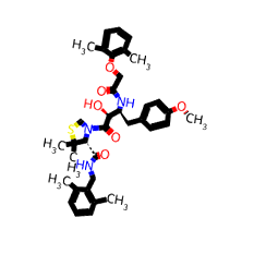 COc1ccc(C[C@H](NC(=O)COc2c(C)cccc2C)[C@H](O)C(=O)N2CSC(C)(C)[C@H]2C(=O)NCc2c(C)cccc2C)cc1